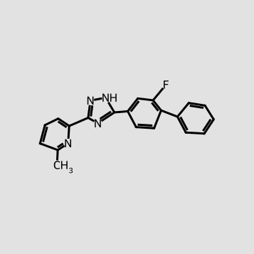 Cc1cccc(-c2n[nH]c(-c3ccc(-c4ccccc4)c(F)c3)n2)n1